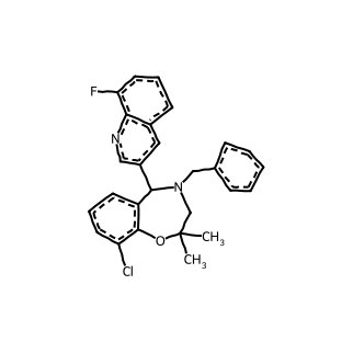 CC1(C)CN(Cc2ccccc2)C(c2cnc3c(F)cccc3c2)c2cccc(Cl)c2O1